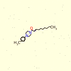 CCCCCCC/C=C/C(=O)N1CCN(c2ccc(C)cc2)CC1